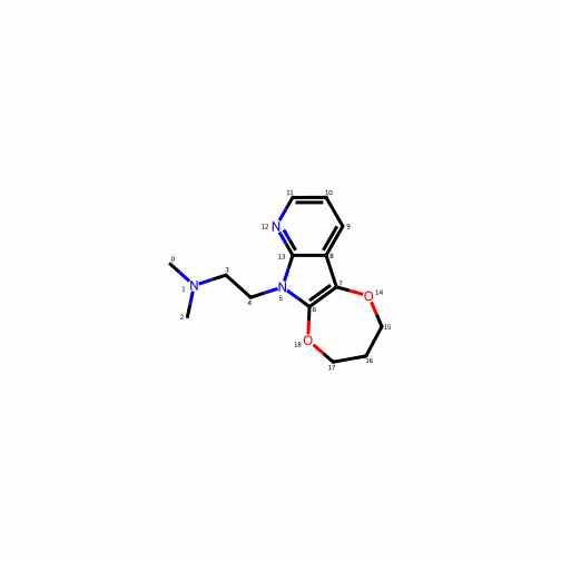 CN(C)CCn1c2c(c3cccnc31)OCCCO2